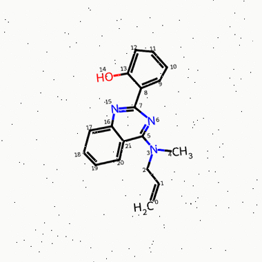 C=CCN(C)c1nc(-c2ccccc2O)nc2ccccc12